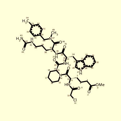 COC(=O)CCC[C@H](NC(=O)CCl)C(=O)N1CCCC[C@H]1C(=O)N[C@@H](Cc1c[nH]c2ccccc12)C(=O)N[C@@H](CCCNC(N)=O)C(=O)N(C)Cc1ccc(C)cc1